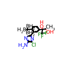 BC(B)(B)c1ccc(C(O)(C(C)O)C(F)(F)F)cc1-c1cnc(N)c(Cl)n1